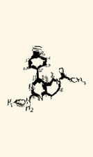 CC(=O)N1CCc2nc(N)nc(-c3ccc(F)cc3)c2C1.O